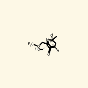 C[C@@H]1C[C@@H]2CCN1[C@](CO)(COC(F)(F)F)C2=O